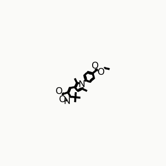 CCOC(=O)c1ccc(-n2c(C)cc(/C=C3/C(=O)ON=C3C(C)(C)C)c2C)cc1